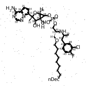 CCCCCCCCCCCCCCCCCCOC[C@H](COP(=O)(O)OC1[C@H]2O[C@@](C)(c3ccc4c(N)ncnn34)[C@H](O)[C@@]12O)NC(C)Cc1ccc(F)c(Cl)c1